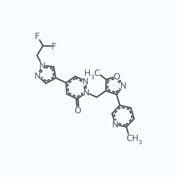 Cc1ccc(-c2noc(C)c2Cn2ncc(-c3cnn(CC(F)F)c3)cc2=O)cn1